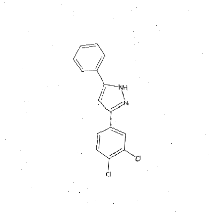 Clc1ccc(-c2cc(-c3ccccc3)[nH]n2)cc1Cl